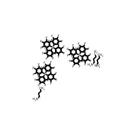 CCCC[NH3+].CCCC[NH3+].CCCC[NH3+].Fc1c(F)c(F)c([B-](c2c(F)c(F)c(F)c(F)c2F)(c2c(F)c(F)c(F)c(F)c2F)c2c(F)c(F)c(F)c(F)c2F)c(F)c1F.Fc1c(F)c(F)c([B-](c2c(F)c(F)c(F)c(F)c2F)(c2c(F)c(F)c(F)c(F)c2F)c2c(F)c(F)c(F)c(F)c2F)c(F)c1F.Fc1c(F)c(F)c([B-](c2c(F)c(F)c(F)c(F)c2F)(c2c(F)c(F)c(F)c(F)c2F)c2c(F)c(F)c(F)c(F)c2F)c(F)c1F